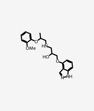 COc1ccccc1OC(C)CNCC(O)COc1cccc2[nH]ncc12